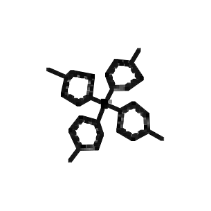 Cc1ccc([B-](c2ccc(C)cc2)(c2ccc(C)cc2)c2ccc(C)cc2)cc1